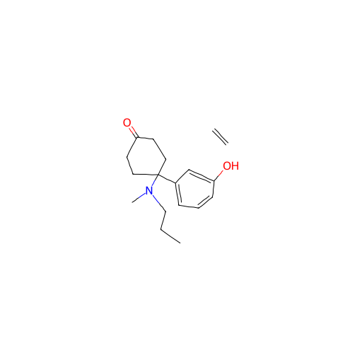 C=C.CCCN(C)C1(c2cccc(O)c2)CCC(=O)CC1